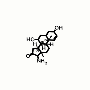 C[C@]12C=CC(O)CC1CC(O)[C@@H]1[C@H]2CC[C@]2(C)C(N)C(=O)C[C@@H]12